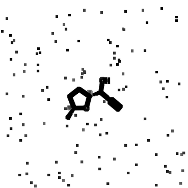 C#CC(O)[C@H]1CC[C@H](C)O1